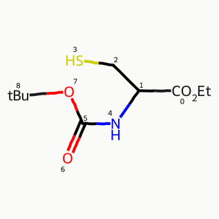 CCOC(=O)C(CS)NC(=O)OC(C)(C)C